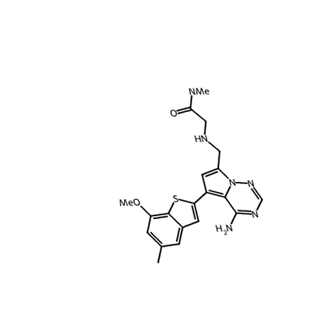 CNC(=O)CNCc1cc(-c2cc3cc(C)cc(OC)c3s2)c2c(N)ncnn12